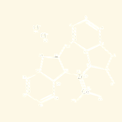 CC1CC2C=CC=CC2[CH]1[Zr+2]([CH]1C(C)CC2C=CC=CC21)=[Ge]([CH3])[CH3].[Cl-].[Cl-]